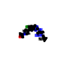 C/C(NCC1(C#N)CC1)=C(/C=N)Nc1ncc2cc(Cl)c(C3CCN(C4COC4)CC3)cc2n1